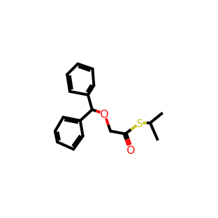 CC(C)SC(=O)COC(c1ccccc1)c1ccccc1